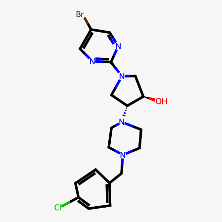 O[C@@H]1CN(c2ncc(Br)cn2)C[C@H]1N1CCN(Cc2ccc(Cl)cc2)CC1